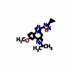 COc1ccc2c(c1)-c1nn(C(C)C)cc1Cc1c(-c3nc(C4CC4)no3)ncn1-2